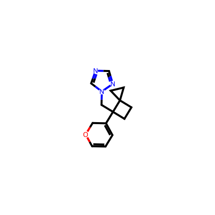 C1=COCC(C2(Cn3cncn3)CCC23CC3)=C1